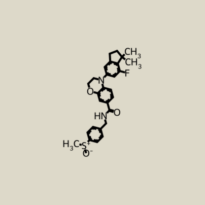 C[S+]([O-])c1ccc(CNC(=O)c2ccc3c(c2)OCCN3c2cc(F)c3c(c2)CCC3(C)C)cc1